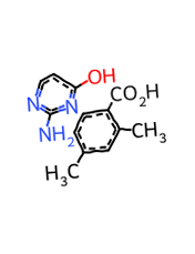 Cc1ccc(C(=O)O)c(C)c1.Nc1nccc(O)n1